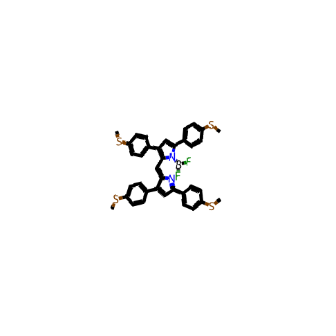 CSc1ccc(C2=CC(c3ccc(SC)cc3)=N/C2=C\c2c(-c3ccc(SC)cc3)cc(-c3ccc(SC)cc3)n2B(F)F)cc1